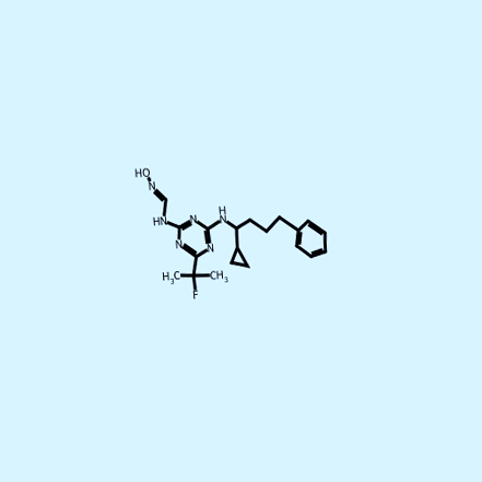 CC(C)(F)c1nc(NC=NO)nc(NC(CCCc2ccccc2)C2CC2)n1